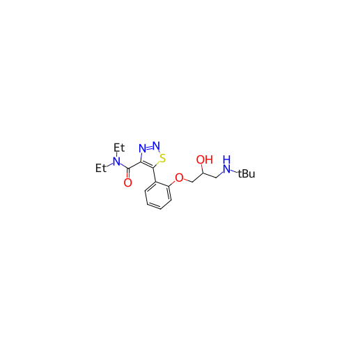 CCN(CC)C(=O)c1nnsc1-c1ccccc1OCC(O)CNC(C)(C)C